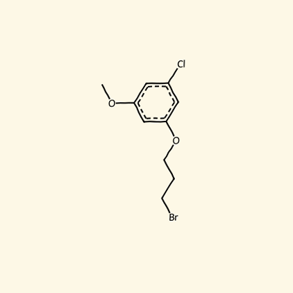 COc1cc(Cl)cc(OCCCBr)c1